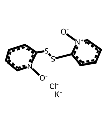 [Cl-].[K+].[O-][n+]1ccccc1SSc1cccc[n+]1[O-]